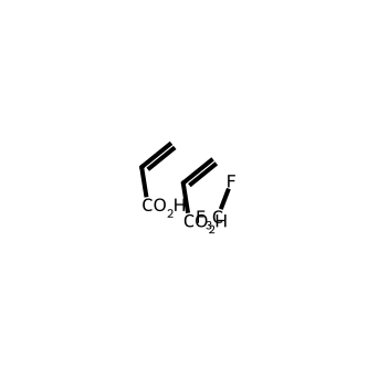 C=CC(=O)O.C=CC(=O)O.FC(F)(F)F